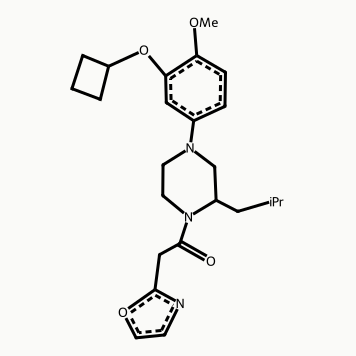 COc1ccc(N2CCN(C(=O)Cc3ncco3)C(CC(C)C)C2)cc1OC1CCC1